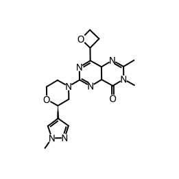 CC1=NC2C(C3CCO3)=NC(N3CCO[C@H](c4cnn(C)c4)C3)=NC2C(=O)N1C